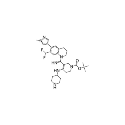 Cn1cc(-c2cc3c(cc2C(F)F)N(C(=N)C2=C(NC4CCNCC4)CCN(C(=O)OC(C)(C)C)C2)CCC3)cn1